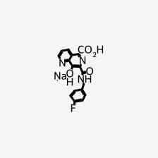 O=C(NCc1ccc(F)cc1)c1nc(C(=O)O)c2cccnc2c1O.[Na]